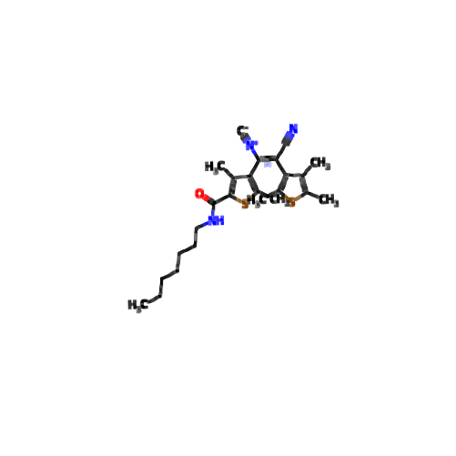 [C-]#[N+]/C(=C(\C#N)c1c(C)sc(C)c1C)c1c(C)sc(C(=O)NCCCCCCC)c1C